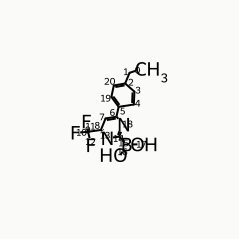 CCc1ccc(-c2cc(C(F)(F)F)nc(B(O)O)n2)cc1